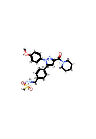 COc1ccc(-n2nc(C(=O)N3CCCCC3)cc2-c2ccc(CNS(C)(=O)=O)cc2)cc1